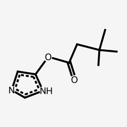 CC(C)(C)CC(=O)Oc1cnc[nH]1